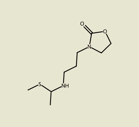 CSC(C)NCCCN1CCOC1=O